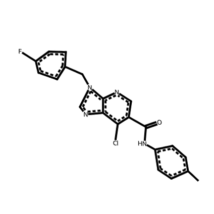 Cc1ccc(NC(=O)c2cnc3c(ncn3Cc3ccc(F)cc3)c2Cl)cc1